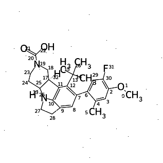 COc1cc(C)c(-c2cc3c4c(c2C(C)(C)C)[C@@H]2CN(C(=O)O)CC[C@@H]2N4CC3)cc1F